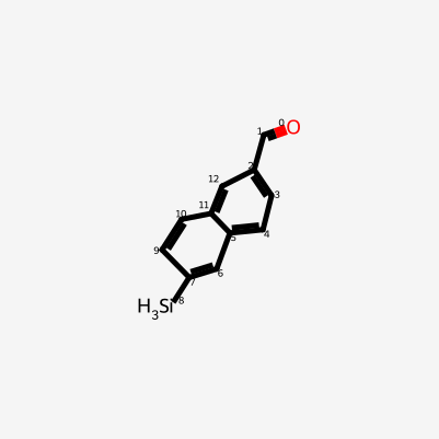 O=Cc1ccc2cc([SiH3])ccc2c1